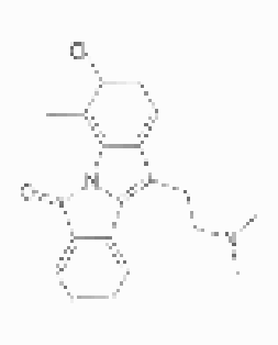 Cc1c(Cl)ccc2c(CCN(C)C)c3n(c12)C(=O)c1ccccc1-3